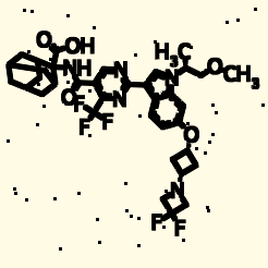 COC[C@H](C)n1cc(-c2ncc(C(=O)NC3(C(=O)O)C4CC5CC(C4)CC3C5)c(C(F)(F)F)n2)c2ccc(O[C@H]3C[C@@H](N4CC(F)(F)C4)C3)cc21